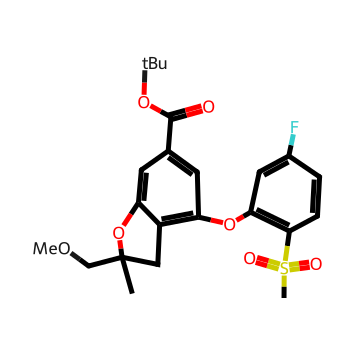 COCC1(C)Cc2c(Oc3cc(F)ccc3S(C)(=O)=O)cc(C(=O)OC(C)(C)C)cc2O1